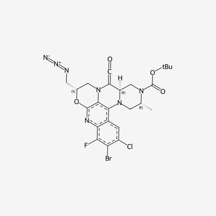 C[C@@H]1CN2c3c4c(nc5c(F)c(Br)c(Cl)cc35)O[C@H](CN=[N+]=[N-])CN4C(=C=O)[C@H]2CN1C(=O)OC(C)(C)C